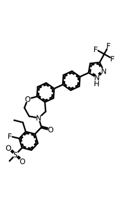 CCc1c(C(=O)N2CCOc3ccc(-c4ccc(-c5cc(C(F)(F)F)n[nH]5)cc4)cc3C2)ccc(S(C)(=O)=O)c1F